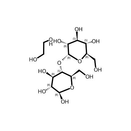 OCCO.OC[C@H]1O[C@H](O[C@H]2[C@H](O)[C@@H](O)[C@H](O)O[C@@H]2CO)[C@H](O)[C@@H](O)[C@@H]1O